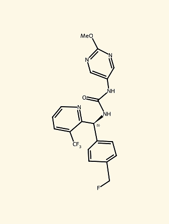 COc1ncc(NC(=O)N[C@@H](c2ccc(CF)cc2)c2ncccc2C(F)(F)F)cn1